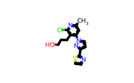 Cc1cc(-n2ccc(-c3nccs3)n2)c(CCCO)c(Cl)n1